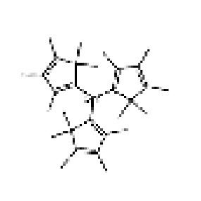 CC1=C(C)C(C)(C)[C]([Sm]([C]2=C(C)C(C)=C(C)C2(C)C)[C]2=C(C)C(C)=C(C)C2(C)C)=C1C